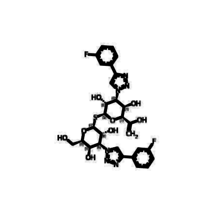 C=C(O)[C@H]1O[C@@H](S[C@@H]2O[C@H](CO)[C@H](O)[C@H](n3cc(-c4cccc(F)c4)nn3)[C@H]2O)[C@H](O)[C@@H](n2cc(-c3cccc(F)c3)nn2)[C@H]1O